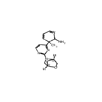 NC1N=CC=CC1(c1ccnc(N2C[C@@H]3C[C@H]2CO3)n1)C(F)(F)F